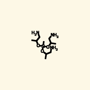 CC(CN)O[Si](C)(OC(C)CN)OC(C)CN